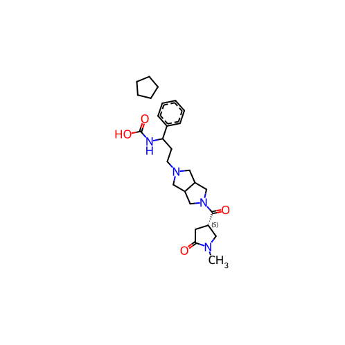 C1CCCC1.CN1C[C@@H](C(=O)N2CC3CN(CCC(NC(=O)O)c4ccccc4)CC3C2)CC1=O